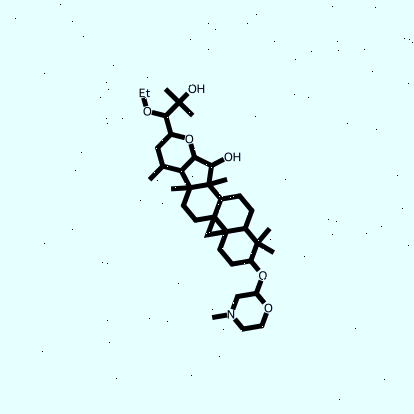 CCOC(C1CC(C)C2C(O1)C(O)C1(C)C3CCC4C(C)(C)C(OC5CN(C)CCO5)CCC45CC35CCC21C)C(C)(C)O